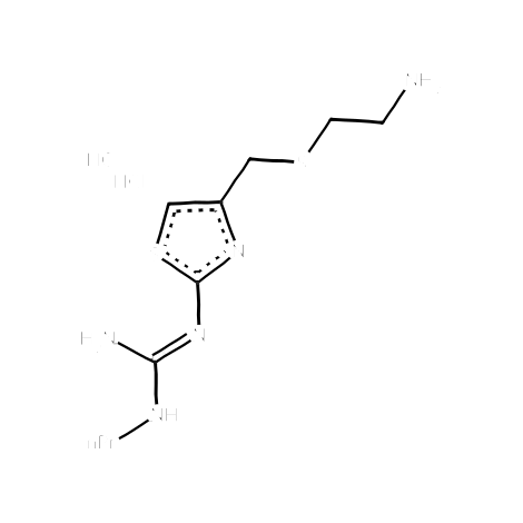 CCCN/C(N)=N/c1nc(CSCCN)cs1.Cl.Cl